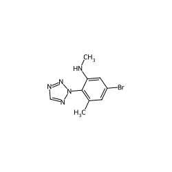 CNc1cc(Br)cc(C)c1-n1ncnn1